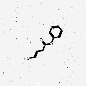 O=C(CC=CO)Oc1ccccc1